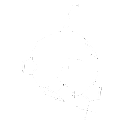 CCOP1(=O)Cc2ccc(c(OC)c2)Nc2ncc(C(F)(F)F)c(n2)Nc2ccc(c(F)c2C(=O)NC)-c2cnn(c2)CCCO1